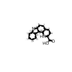 O=C(O)c1ccc2ccc3nc4ccccc4c3c2[nH]1